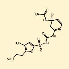 COCCc1sc(S(=O)(=O)NC(=O)NC2=NC=CC(Br)(NC(N)=O)C2)cc1C